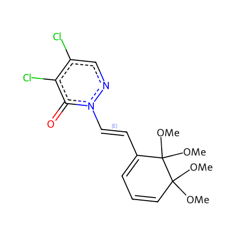 COC1(OC)C=CC=C(/C=C/n2ncc(Cl)c(Cl)c2=O)C1(OC)OC